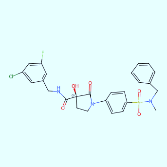 CN(Cc1ccccc1)S(=O)(=O)c1ccc(N2CC[C@](O)(C(=O)NCc3cc(F)cc(Cl)c3)C2=O)cc1